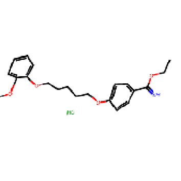 CCOC(=N)c1ccc(OCCCCCOc2ccccc2OC)cc1.Cl